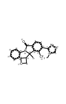 Cn1cnnc1-c1ccc2c(c1C(F)(F)F)C(C)(C1COC1)N(c1ccccc1)C2=O